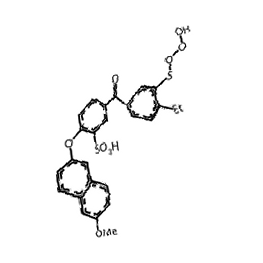 CCc1ccc(C(=O)c2ccc(Oc3ccc4cc(OC)ccc4c3)c(S(=O)(=O)O)c2)cc1SOOO